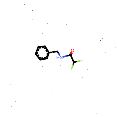 O=C(NCc1cc[c]cc1)C(F)F